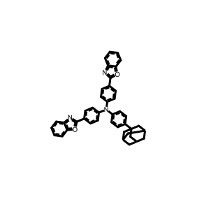 c1ccc2oc(-c3ccc(N(c4ccc(-c5nc6ccccc6o5)cc4)c4ccc(C56CC7CC(CC(C7)C5)C6)cc4)cc3)nc2c1